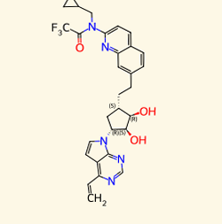 C=Cc1ncnc2c1ccn2[C@@H]1C[C@H](CCc2ccc3ccc(N(CC4CC4)C(=O)C(F)(F)F)nc3c2)[C@@H](O)[C@H]1O